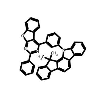 CC1(C)c2ccccc2-c2ccc3c4ccccc4n(-c4cccc(-c5nc(-c6ccccc6)nc6oc7ccccc7c56)c4)c3c21